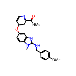 CNC(=O)c1cc(Oc2ccc3c(c2)nc(NCc2ccc(OC)cc2)n3C)ccn1